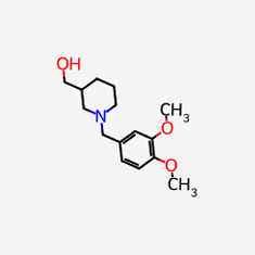 COc1ccc(CN2CCCC(CO)C2)cc1OC